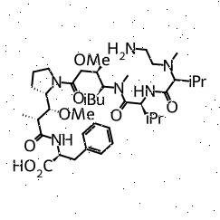 CC[C@H](C)C([C@@H](CC(=O)N1CCC[C@H]1[C@H](OC)[C@@H](C)C(=O)N[C@@H](Cc1ccccc1)C(=O)O)OC)N(C)C(=O)[C@@H](NC(=O)C(C(C)C)N(C)CCN)C(C)C